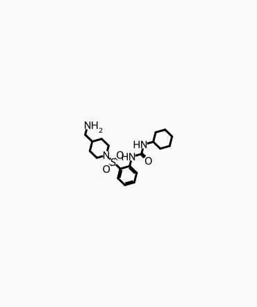 NCC1CCN(S(=O)(=O)c2ccccc2NC(=O)NC2CCCCC2)CC1